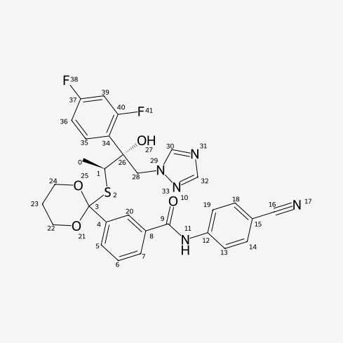 C[C@H](SC1(c2cccc(C(=O)Nc3ccc(C#N)cc3)c2)OCCCO1)[C@](O)(Cn1cncn1)c1ccc(F)cc1F